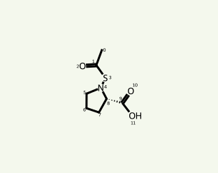 CC(=O)SN1CCC[C@H]1C(=O)O